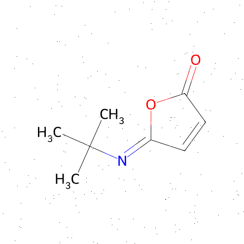 CC(C)(C)/N=C1/C=CC(=O)O1